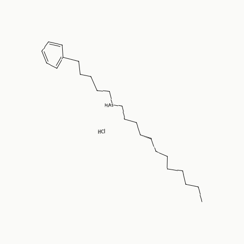 CCCCCCCCCCCC[AsH]CCCCCc1ccccc1.Cl